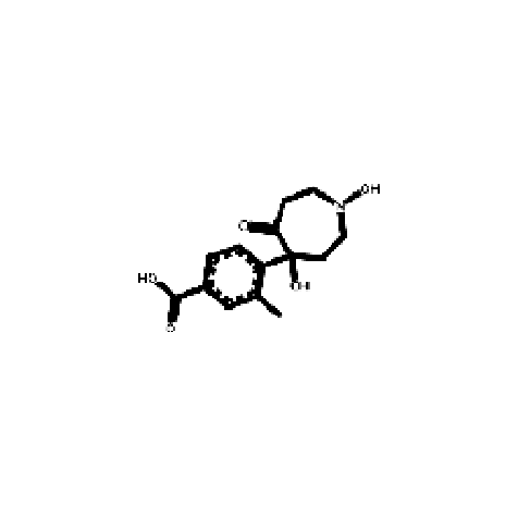 Cc1cc(C(=O)O)ccc1C1(O)CCN(O)CCC1=O